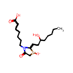 CCCCCC(O)CCC1N(CCCCCCC(=O)O)C(=O)C[S+]1[O-]